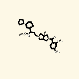 C1CCCC1.Cc1ccc(C(=O)N2CC3CN(CCC(NC(=O)O)c4ccccc4)C[C@H]3C2)c(C)c1